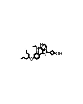 CCCC(CCC)Oc1ccc(-c2nc(C3CC(O)C3)n3ccnc(NCC)c23)cc1